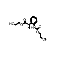 O=C(Nc1ccccc1NC(=O)OCCO)OCCO